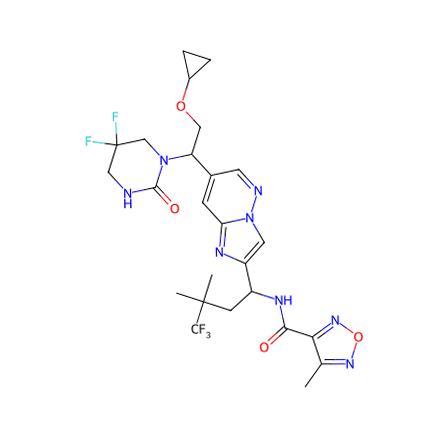 Cc1nonc1C(=O)NC(CC(C)(C)C(F)(F)F)c1cn2ncc(C(COC3CC3)N3CC(F)(F)CNC3=O)cc2n1